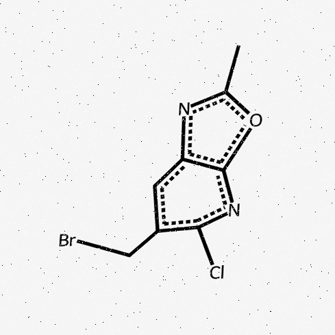 Cc1nc2cc(CBr)c(Cl)nc2o1